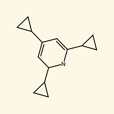 C1=C(C2CC2)C=C(C2CC2)[N]C1C1CC1